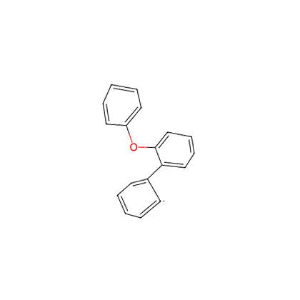 [c]1ccccc1-c1ccccc1Oc1ccccc1